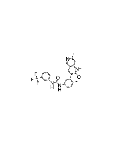 Cc1cc2c(cn1)cc(-c1cc(NC(=O)Nc3cccc(C(F)(F)F)c3)ccc1C)c(=O)n2C